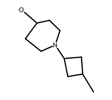 CC1CC(N2CCC([O])CC2)C1